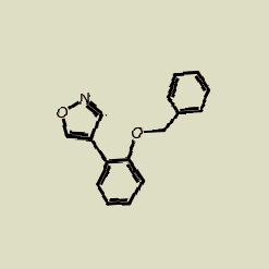 [c]1nocc1-c1ccccc1OCc1ccccc1